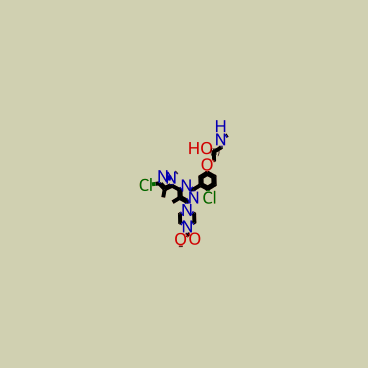 CNC[C@@H](O)COc1ccc(Cl)c(-c2nc(-c3c(C)c(Cl)nn3C)c(C)c(N3CCN(C(=O)OC)CC3)n2)c1